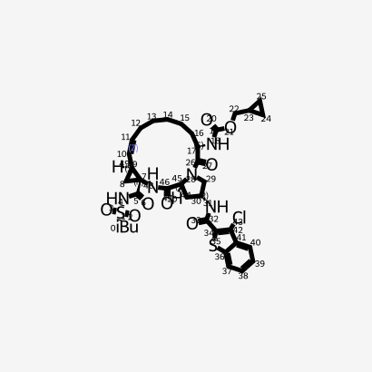 CCC(C)S(=O)(=O)NC(=O)[C@@]12C[C@H]1/C=C\CCCCC[C@H](NC(=O)OCC1CC1)C(=O)N1C[C@H](NC(=O)c3sc4ccccc4c3Cl)C[C@H]1C(=O)N2